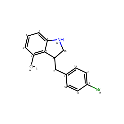 Cc1cccc2c1C(Cc1ccc(Br)cc1)CN2